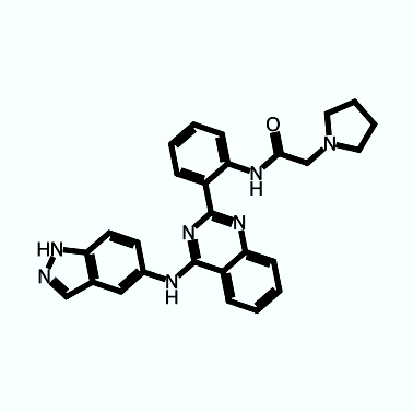 O=C(CN1CCCC1)Nc1ccccc1-c1nc(Nc2ccc3[nH]ncc3c2)c2ccccc2n1